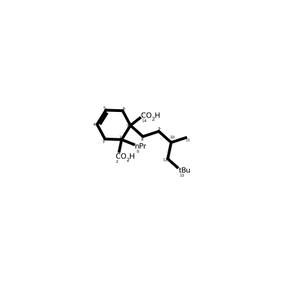 CCCC1(C(=O)O)CC=CCC1(CCC(C)CC(C)(C)C)C(=O)O